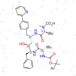 CC(=O)C(C)(C)OC(=O)N[C@H](C(=O)N[C@@H](Cc1ccccc1)[C@@H](O)C[C@H](Cc1ccc(-c2ccccn2)cc1)NC(=O)[C@@H](N(C)C(=O)O)C(C)(C)C)C(C)(C)C